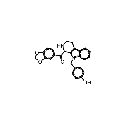 O=C(c1ccc2c(c1)OCO2)C1NCCc2c1n(Cc1ccc(O)cc1)c1ccccc21